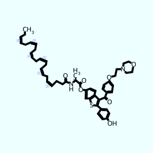 CC/C=C\C/C=C\C/C=C\C/C=C\C/C=C\C/C=C\CCC(=O)N[C@@H](C)C(=O)Oc1ccc2c(C(=O)c3ccc(OCCN4CCOCC4)cc3)c(-c3ccc(O)cc3)sc2c1